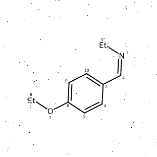 CC/N=C\c1ccc(OCC)cc1